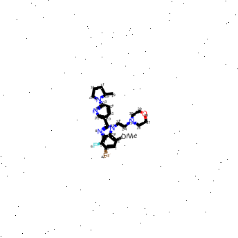 COc1cc(Br)c(F)c2nc(-c3ccc(N4CCCC4C)nc3)n(CCN3CCOCC3)c12